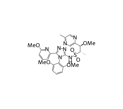 COc1cccc(-c2nnc(NS(=O)(=O)[C@@H](C)[C@H](OC)c3cnc(C)cn3)n2-c2c(OC)cccc2OC)n1